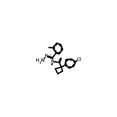 C=C(N(C)/C(=N\N)c1ccccc1C)C1(c2ccc(Cl)cc2)CCC1